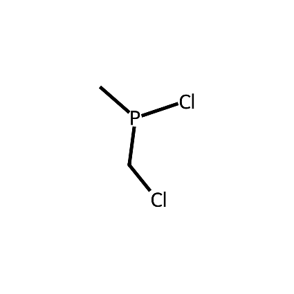 CP(Cl)CCl